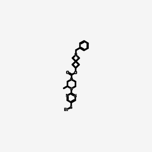 CCSc1cnc(N2CCN(C(=O)OC3CC4(C3)CN(Cc3ccccc3)C4)CC2C)nc1